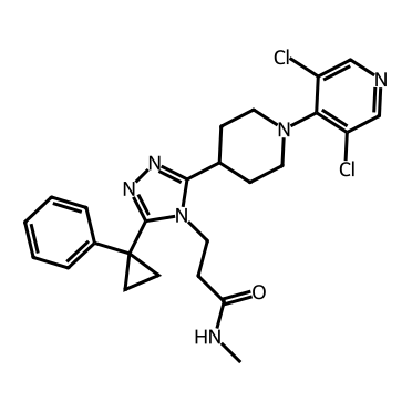 CNC(=O)CCn1c(C2CCN(c3c(Cl)cncc3Cl)CC2)nnc1C1(c2ccccc2)CC1